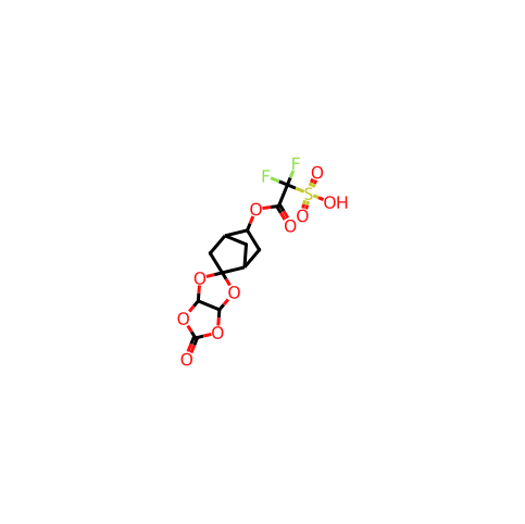 O=C1OC2OC3(CC4CC3CC4OC(=O)C(F)(F)S(=O)(=O)O)OC2O1